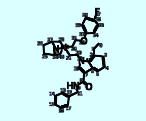 CCc1cccc2c(C(=O)NCc3ccccc3)cn(CCCN3C4CCC3CN(CCOc3ccc(F)cc3)C4)c12